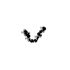 Cc1cccc(C(=O)NC2CC(n3cnc4c(NCCCN5CCN(CC6CCN(C(=O)CNc7ccc8c(c7)C(=O)N([C@@H]7CCC(=O)NC7=O)C8=O)CC6)CC5)ncnc43)C2)n1